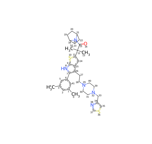 Cc1cc(C)cc(-c2[nH]c3sc(C(C)(C)C(=O)N4C5CCC4CC5)cc3c2CCN2CCN(Cc3cscn3)CC2)c1